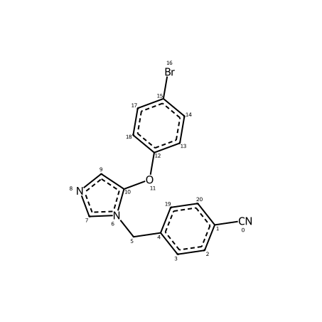 N#Cc1ccc(Cn2cncc2Oc2ccc(Br)cc2)cc1